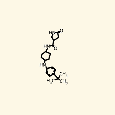 CC(C)(C)c1ccc(NC2CCC(NC(=O)C3CNC(=O)C3)CC2)cc1